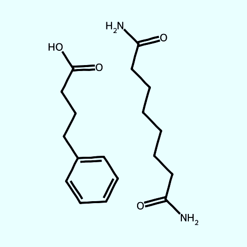 NC(=O)CCCCCCC(N)=O.O=C(O)CCCc1ccccc1